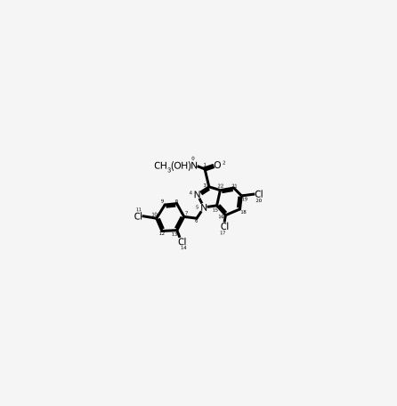 CN(O)C(=O)c1nn(Cc2ccc(Cl)cc2Cl)c2c(Cl)cc(Cl)cc12